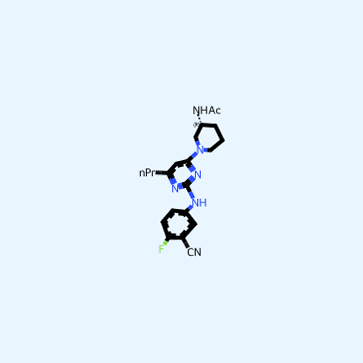 CCCc1cc(N2CCC[C@@H](NC(C)=O)C2)nc(Nc2ccc(F)c(C#N)c2)n1